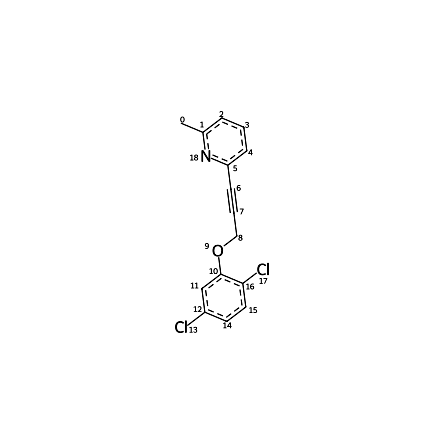 Cc1cccc(C#CCOc2cc(Cl)ccc2Cl)n1